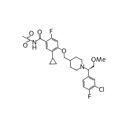 COC[C@@H](c1ccc(F)c(Cl)c1)N1CCC(COc2cc(F)c(C(=O)NS(C)(=O)=O)cc2C2CC2)CC1